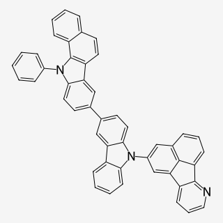 c1ccc(-n2c3ccc(-c4ccc5c(c4)c4ccccc4n5-c4cc5c6c(cccc6c4)-c4ncccc4-5)cc3c3ccc4ccccc4c32)cc1